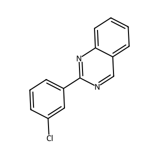 Clc1cccc(-c2ncc3ccccc3n2)c1